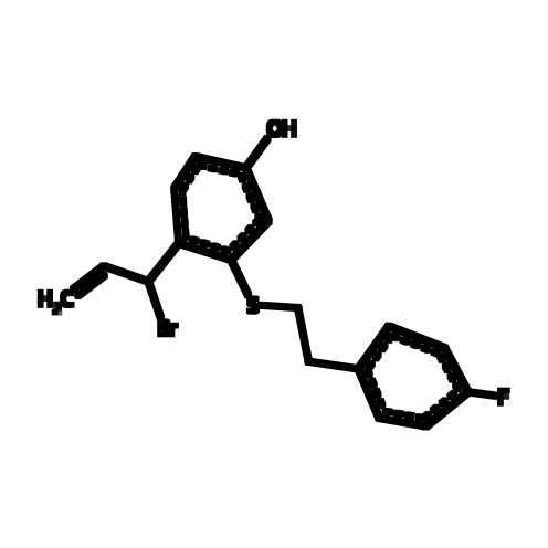 C=CC(Br)c1ccc(O)cc1SCCc1ccc(F)cc1